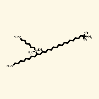 CCCCCCCCCCCCCCCCCCC(CCCCCCCCCCCCCCCCC(N)(CCC)CCC)[N+](C)(C)CCCCCCCCCCCCCCCC